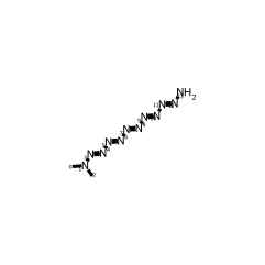 CN(C)N=NN=NN=NN=NN=NN